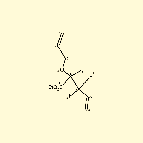 C=CCOC(C)(C(=O)OCC)C(F)(F)C=C